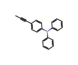 CC#Cc1ccc(N(c2ccccc2)c2ccccc2)cc1